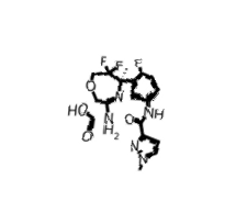 Cn1ccc(C(=O)Nc2ccc(F)c([C@@]3(C)N=C(N)COCC3(F)F)c2)n1.O=CO